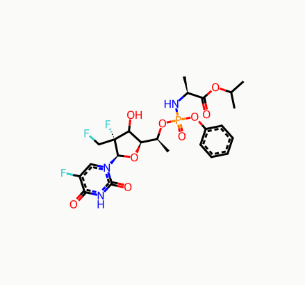 CC(C)OC(=O)[C@H](C)NP(=O)(Oc1ccccc1)O[C@@H](C)[C@H]1O[C@@H](n2cc(F)c(=O)[nH]c2=O)[C@@](F)(CF)C1O